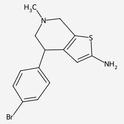 CN1Cc2sc(N)cc2C(c2ccc(Br)cc2)C1